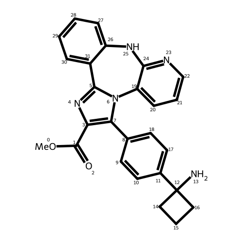 COC(=O)c1nc2n(c1-c1ccc(C3(N)CCC3)cc1)-c1cccnc1Nc1ccccc1-2